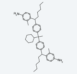 CCCCCC(c1ccc(C(C)(c2ccc(C(CCCCC)c3ccc(N)cc3C)cc2)C2CCCCC2)cc1)c1ccc(N)cc1C